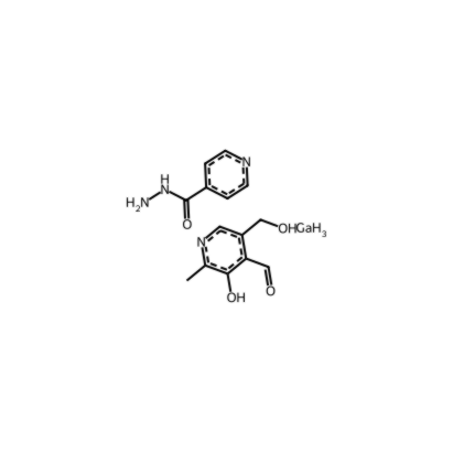 Cc1ncc(CO)c(C=O)c1O.NNC(=O)c1ccncc1.[GaH3]